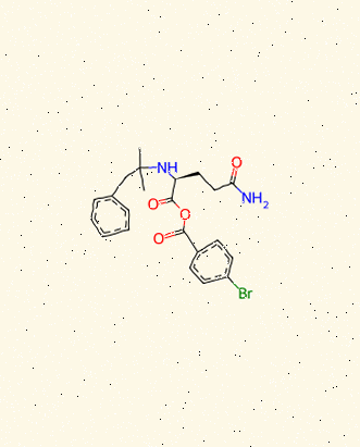 CC(C)(Cc1ccccc1)N[C@@H](CCC(N)=O)C(=O)OC(=O)c1ccc(Br)cc1